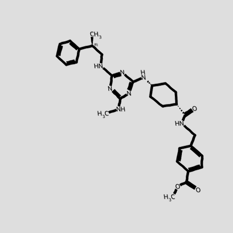 CNc1nc(NC[C@H](C)c2ccccc2)nc(N[C@H]2CC[C@@H](C(=O)NCc3ccc(C(=O)OC)cc3)CC2)n1